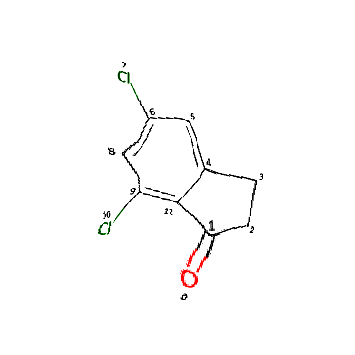 O=C1[CH]Cc2cc(Cl)cc(Cl)c21